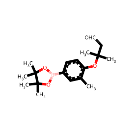 Cc1cc(B2OC(C)(C)C(C)(C)O2)ccc1OC(C)(C)CC=O